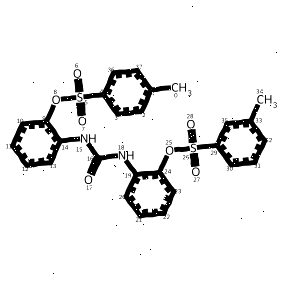 Cc1ccc(S(=O)(=O)Oc2ccccc2NC(=O)Nc2ccccc2OS(=O)(=O)c2cccc(C)c2)cc1